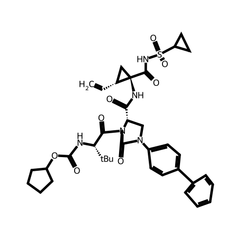 C=C[C@@H]1C[C@]1(NC(=O)[C@@H]1CN(c2ccc(-c3ccccc3)cc2)C(=O)N1C(=O)[C@@H](NC(=O)OC1CCCC1)C(C)(C)C)C(=O)NS(=O)(=O)C1CC1